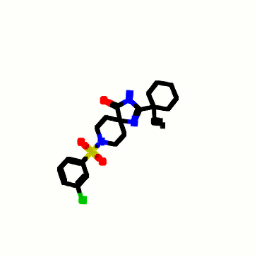 CC1(C2=NC3(CCN(S(=O)(=O)c4cccc(Cl)c4)CC3)C(=O)N2)CCCCC1